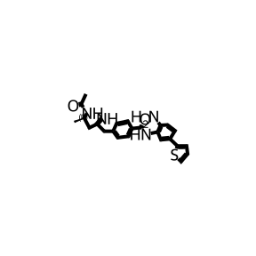 CC(=O)N[C@H](C)CC(=N)Cc1ccc(C(=O)Nc2cc(-c3cccs3)ccc2N)cc1